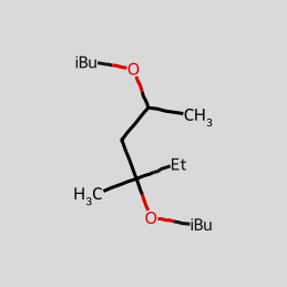 CCC(C)OC(C)CC(C)(CC)OC(C)CC